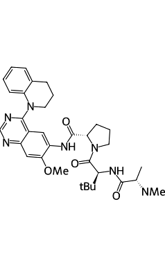 CN[C@@H](C)C(=O)N[C@H](C(=O)N1CCC[C@H]1C(=O)Nc1cc2c(N3CCCc4ccccc43)ncnc2cc1OC)C(C)(C)C